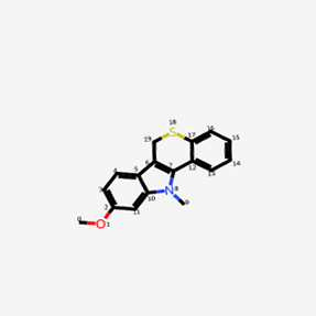 COc1ccc2c3c(n(C)c2c1)-c1ccccc1SC3